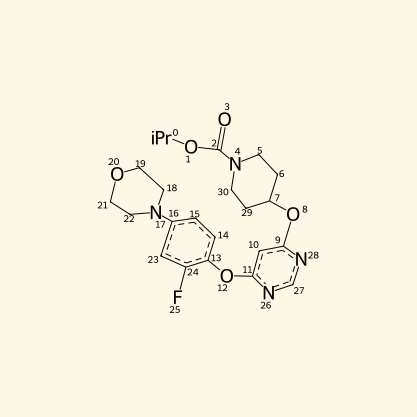 CC(C)OC(=O)N1CCC(Oc2cc(Oc3ccc(N4CCOCC4)cc3F)ncn2)CC1